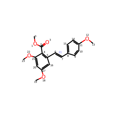 COC(=O)c1c(/C=C/c2ccc(OC)cc2)cc(OC)cc1OC